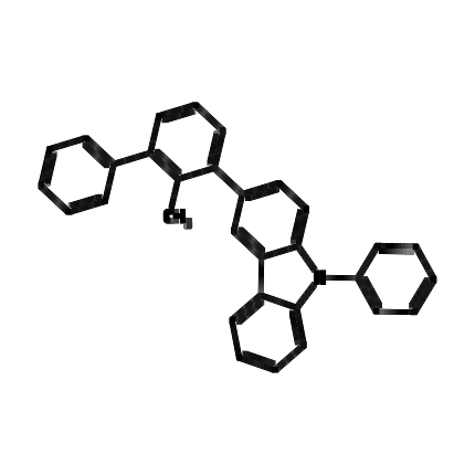 Cc1c(-c2ccccc2)cccc1-c1ccc2c(c1)c1ccccc1n2-c1ccccc1